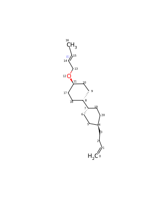 C=CCC[C@H]1CC[C@H]([C@H]2CC[C@H](OC/C=C/C)CC2)CC1